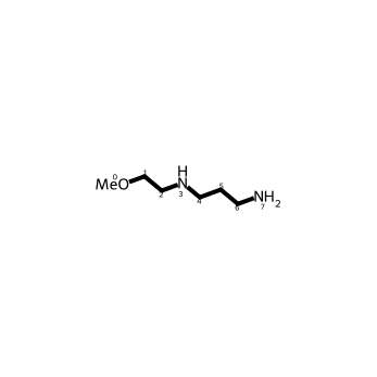 COCCNCCCN